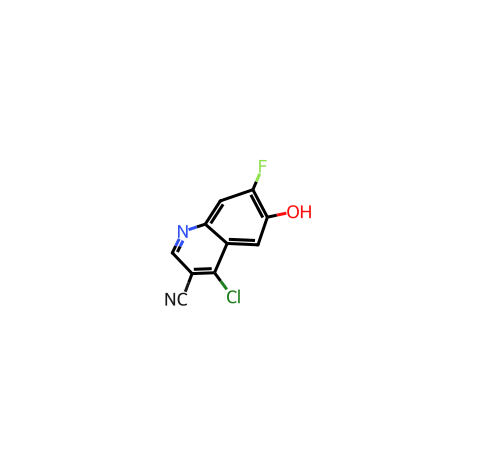 N#Cc1cnc2cc(F)c(O)cc2c1Cl